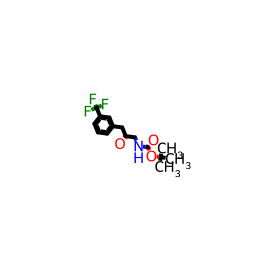 CC(C)(C)OC(=O)NCC(=O)Cc1cccc(C(F)(F)F)c1